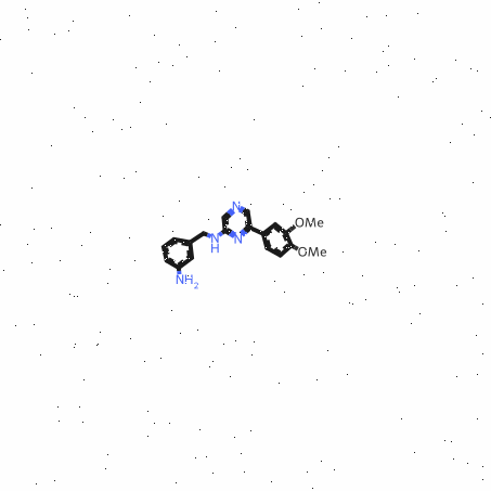 COc1ccc(-c2cncc(NCc3cccc(N)c3)n2)cc1OC